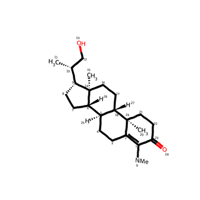 CNC1=C2CC[C@H]3[C@@H]4CC[C@H]([C@H](C)CO)[C@@]4(C)CC[C@@H]3[C@@]2(C)CCC1=O